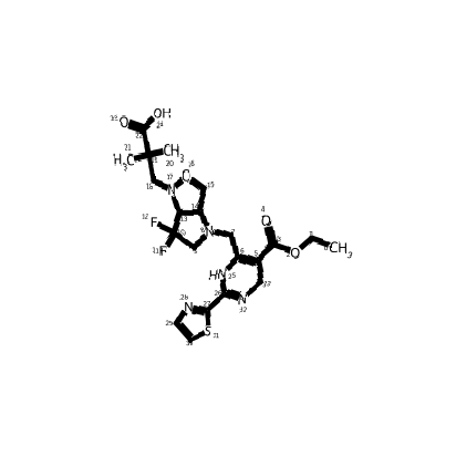 CCOC(=O)C1=C(CN2CC(F)(F)C3C2CON3CC(C)(C)C(=O)O)NC(c2nccs2)=NC1